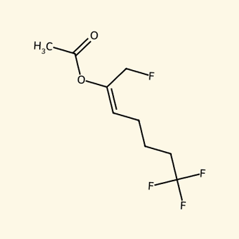 CC(=O)OC(=CCCCC(F)(F)F)CF